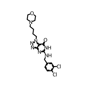 O=c1[nH]c(NCc2ccc(Cl)c(Cl)c2)nc2nnn(CCCCN3CCOCC3)c12